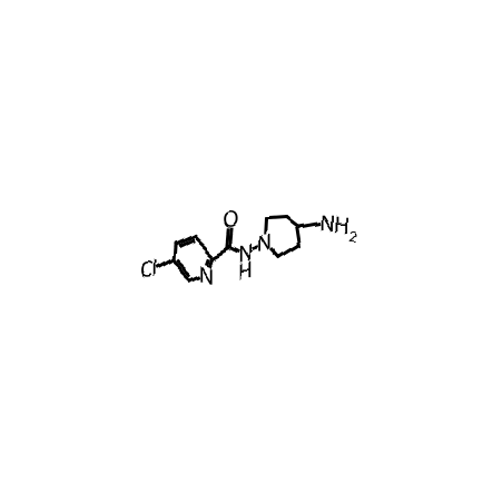 NC1CCN(NC(=O)c2ccc(Cl)cn2)CC1